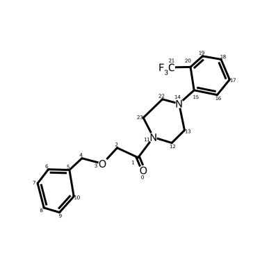 O=C(COCc1ccccc1)N1CCN(c2ccccc2C(F)(F)F)CC1